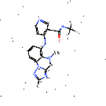 [2H]C([2H])([2H])NC(=O)c1cnccc1Nc1cccc2c1N(C)Cc1nc(C(F)(F)F)nn1-2